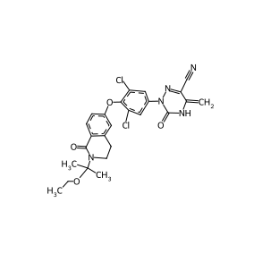 C=C1NC(=O)N(c2cc(Cl)c(Oc3ccc4c(c3)CCN(C(C)(C)OCC)C4=O)c(Cl)c2)N=C1C#N